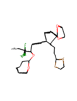 CCCCC(F)(F)C(/C=C/C1CCC2(OCCO2)C1CCC1SCCS1)OC1CCCCO1